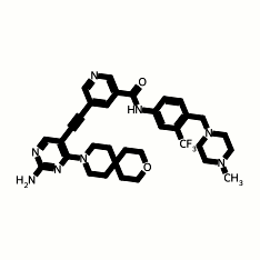 CN1CCN(Cc2ccc(NC(=O)c3cncc(C#Cc4cnc(N)nc4N4CCC5(CCOCC5)CC4)c3)cc2C(F)(F)F)CC1